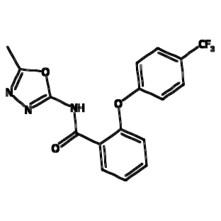 Cc1nnc(NC(=O)c2ccccc2Oc2ccc(C(F)(F)F)cc2)o1